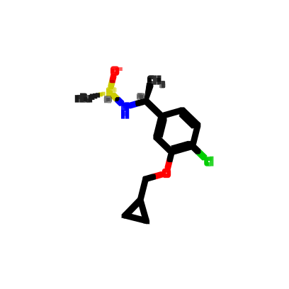 CCCC[S@+]([O-])N[C@@H](C)c1ccc(Cl)c(OCC2CC2)c1